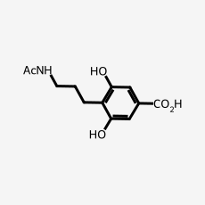 CC(=O)NCCCc1c(O)cc(C(=O)O)cc1O